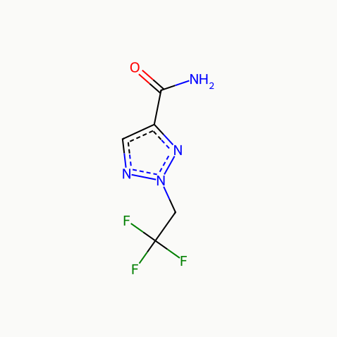 NC(=O)c1cnn(CC(F)(F)F)n1